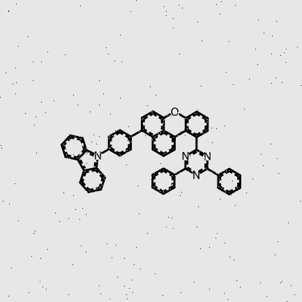 c1ccc(-c2nc(-c3ccccc3)nc(-c3cccc4c3-c3cccc5c(-c6ccc(-n7c8ccccc8c8ccccc87)cc6)ccc(c35)O4)n2)cc1